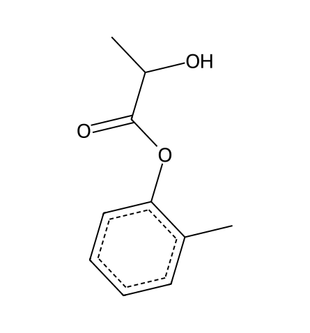 Cc1ccccc1OC(=O)C(C)O